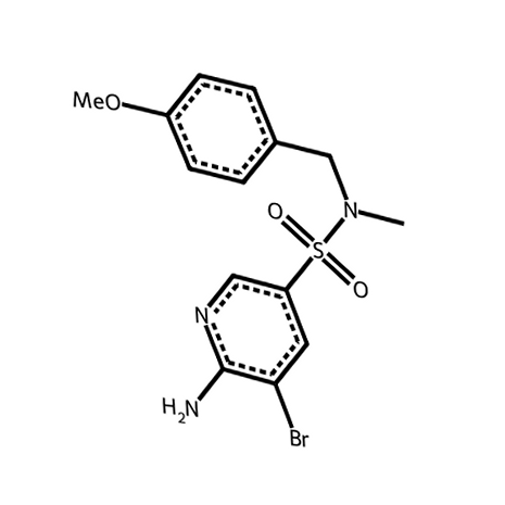 COc1ccc(CN(C)S(=O)(=O)c2cnc(N)c(Br)c2)cc1